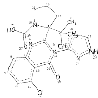 CC(C)(C)C1(c2nc3cccc(Cl)c3c(=O)n2-c2cc[nH]n2)CCCN1C(=O)O